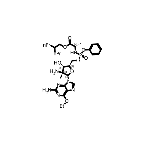 CCCC(CCC)COC(=O)[C@H](C)NP(=O)(OC[C@H]1O[C@@H](n2cnc3c(OCC)nc(N)nc32)[C@](C)(N)[C@@H]1O)Oc1ccccc1